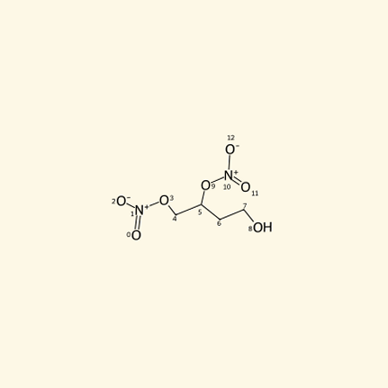 O=[N+]([O-])OCC(CCO)O[N+](=O)[O-]